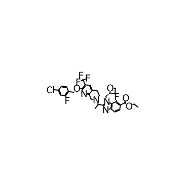 CCOC(=O)c1ccc2nc(C(C)N3CCc4cc(C(F)(F)F)c(OCc5ccc(Cl)cc5F)nc4C3)n(C[C@@H]3CCO3)c2c1F